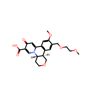 COCCOCc1cc2c(cc1OC)-c1cc(=O)c(C(=O)O)cn1[C@H]1CCOC[C@H]21